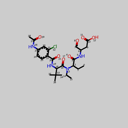 CCC(C(=O)NC(C=O)CC(=O)O)N(CC)C(=O)C(NC(=O)c1ccc(NC(C)=O)cc1Cl)C(C)(C)C